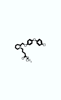 COC(=O)CCCN1CCCCC1COc1ccc(Oc2ccc(Cl)cc2)cc1